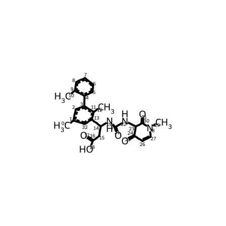 Cc1cc(-c2ccccc2C)c(C)c(C(CC(=O)O)NC(=O)NC2C(=O)C=CN(C)C2=O)c1